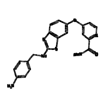 CNC(=O)c1cc(Oc2ccc3nc(NCc4ccc(N)cc4)sc3c2)ccn1